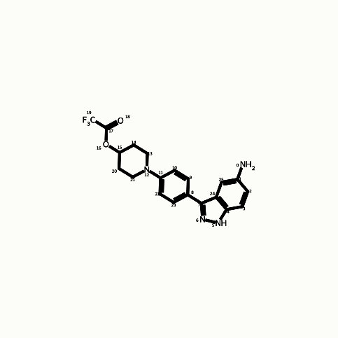 Nc1ccc2[nH]nc(-c3ccc(N4CCC(OC(=O)C(F)(F)F)CC4)cc3)c2c1